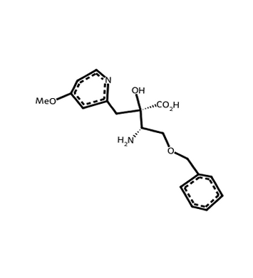 COc1ccnc(C[C@](O)(C(=O)O)[C@@H](N)COCc2ccccc2)c1